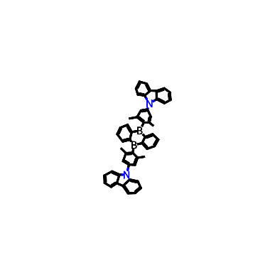 Cc1cc(-n2c3ccccc3c3ccccc32)cc(C)c1B1c2ccccc2B(c2c(C)cc(-n3c4ccccc4c4ccccc43)cc2C)c2ccccc21